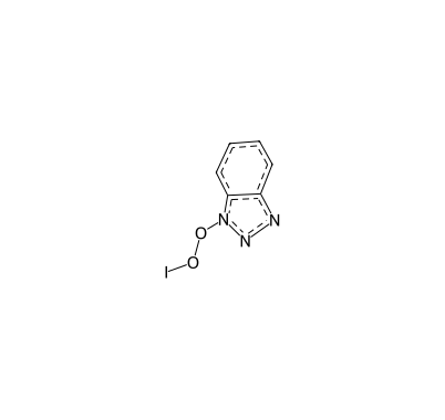 IOOn1nnc2ccccc21